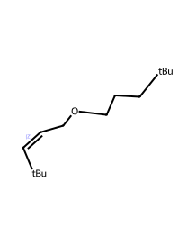 CC(C)(C)/C=C\COCCCC(C)(C)C